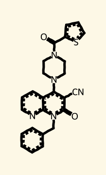 N#Cc1c(N2CCN(C(=O)c3cccs3)CC2)c2cccnc2n(Cc2ccccc2)c1=O